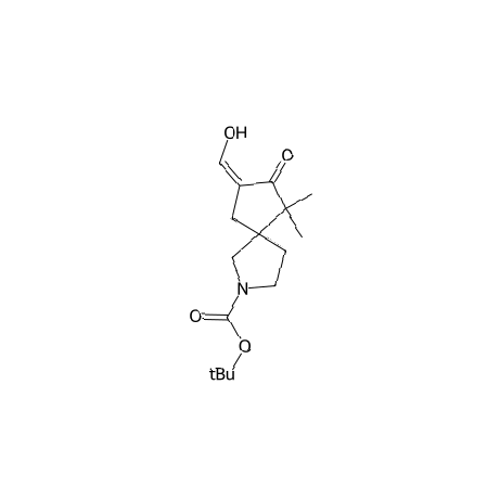 CC(C)(C)OC(=O)N1CCC2(CC(=CO)C(=O)C2(C)C)C1